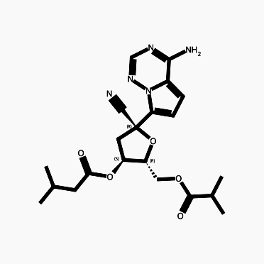 CC(C)CC(=O)O[C@H]1C[C@](C#N)(c2ccc3c(N)ncnn23)O[C@@H]1COC(=O)C(C)C